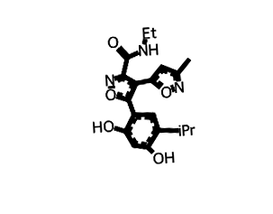 CCNC(=O)c1noc(-c2cc(C(C)C)c(O)cc2O)c1-c1cc(C)no1